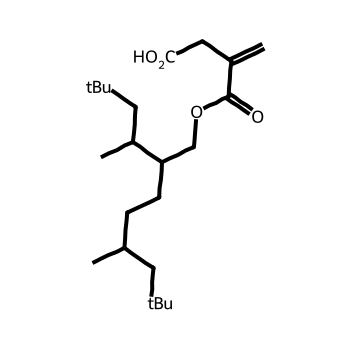 C=C(CC(=O)O)C(=O)OCC(CCC(C)CC(C)(C)C)C(C)CC(C)(C)C